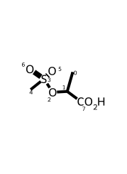 CC(OS(C)(=O)=O)C(=O)O